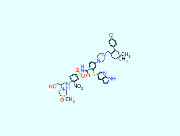 CC1(C)CCC(CN2CCN(c3ccc(C(=O)NS(=O)(=O)c4ccc(NCC(CO)N5CCP(C)(=O)CC5)c([N+](=O)[O-])c4)c(Sc4cnc5[nH]ccc5c4)c3)CC2)=C(c2ccc(Cl)cc2)C1